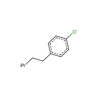 CC(C)CCc1ccc(Cl)cc1